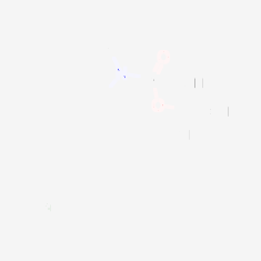 CC(C)(C)OC(=O)N1CCC(Cc2ccc(Br)cc2)C1